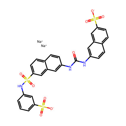 O=C(Nc1ccc2ccc(S(=O)(=O)[O-])cc2c1)Nc1ccc2ccc(S(=O)(=O)Nc3cccc(S(=O)(=O)[O-])c3)cc2c1.[Na+].[Na+]